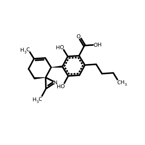 CCCCc1cc(O)c([C@@H]2C=C(C)CC[C@]23N=C3C)c(O)c1C(=O)O